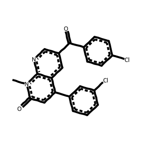 Cn1c(=O)cc(-c2cccc(Cl)c2)c2cc(C(=O)c3ccc(Cl)cc3)cnc21